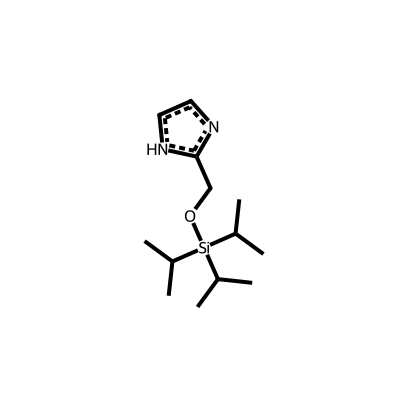 CC(C)[Si](OCc1ncc[nH]1)(C(C)C)C(C)C